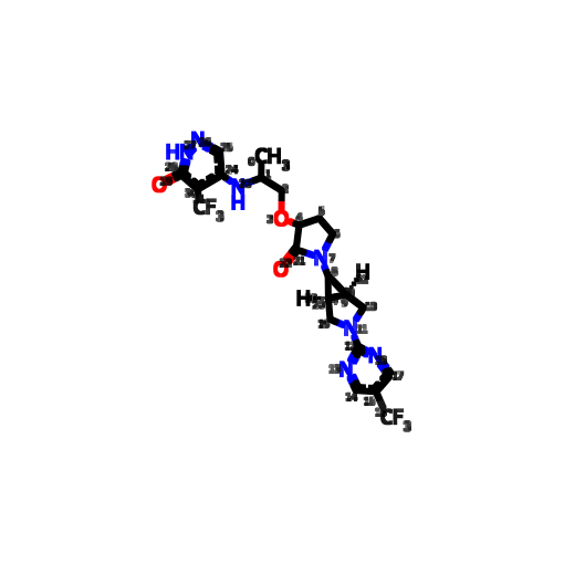 CC(COC1CCN(C2[C@H]3CN(c4ncc(C(F)(F)F)cn4)C[C@@H]23)C1=O)Nc1cn[nH]c(=O)c1C(F)(F)F